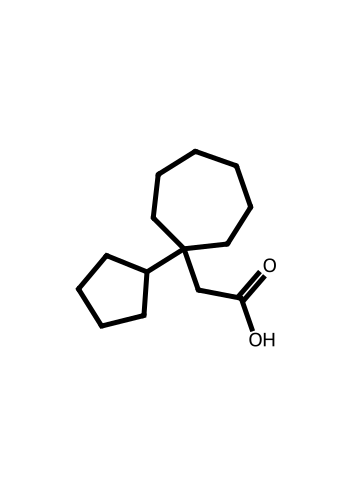 O=C(O)CC1(C2CCCC2)CCCCCC1